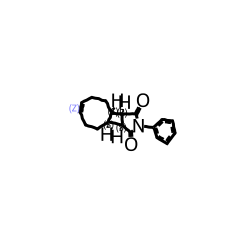 O=C1[C@@H]2[C@H]3CC/C=C\CC[C@@H]3[C@@H]2C(=O)N1c1ccccc1